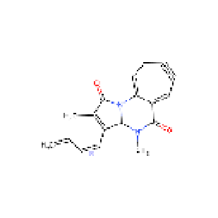 C=C/C=C\C1=C(C)C(=O)N2C3=CCC#CC=C3C(=O)N(C)C12